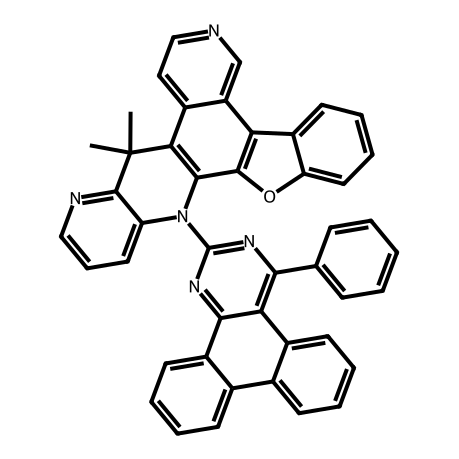 CC1(C)c2ncccc2N(c2nc(-c3ccccc3)c3c4ccccc4c4ccccc4c3n2)c2c1c1ccncc1c1c2oc2ccccc21